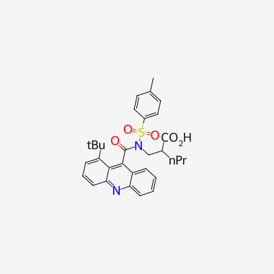 CCCC(CN(C(=O)c1c2ccccc2nc2cccc(C(C)(C)C)c12)S(=O)(=O)c1ccc(C)cc1)C(=O)O